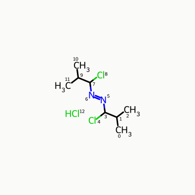 CC(C)C(Cl)N=NC(Cl)C(C)C.Cl